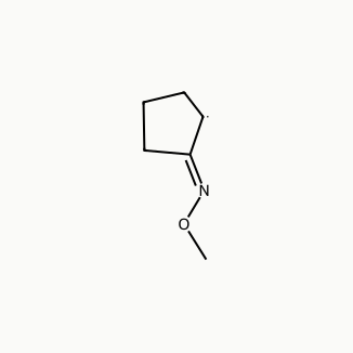 CON=C1[CH]CCC1